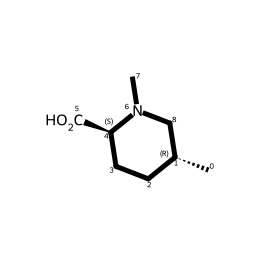 C[C@@H]1CC[C@@H](C(=O)O)N(C)C1